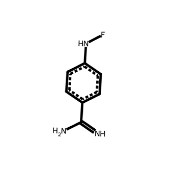 N=C(N)c1ccc(NF)cc1